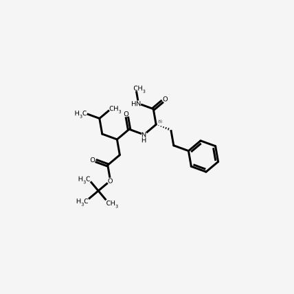 CNC(=O)[C@H](CCc1ccccc1)NC(=O)C(CC(=O)OC(C)(C)C)CC(C)C